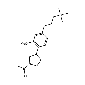 COc1cc(SCC[Si](C)(C)C)ccc1C1CCN(B(C)O)C1